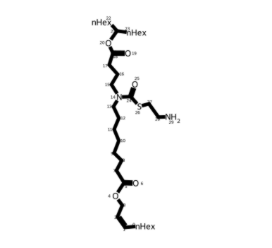 CCCCCC/C=C\COC(=O)CCCCCCCN(CCCC(=O)OC(CCCCCC)CCCCCC)C(=O)SCCN